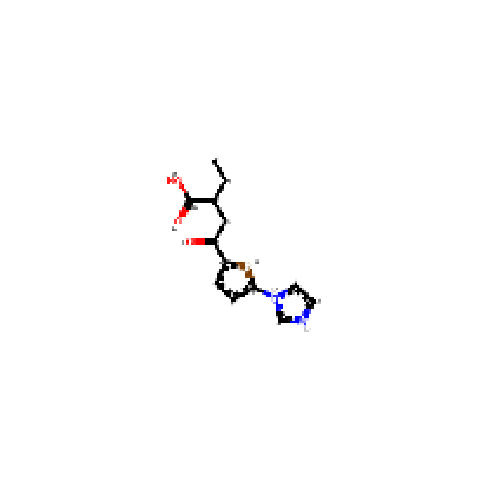 CCC(CC(=O)c1ccc(-n2ccnc2)s1)C(=O)O